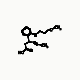 CC#C[C@H](CC(=O)O)c1ccccc1OCCCCC